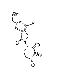 O=C1CCC(N2Cc3c(F)cc(CBr)cc3C2=O)C(=O)N1